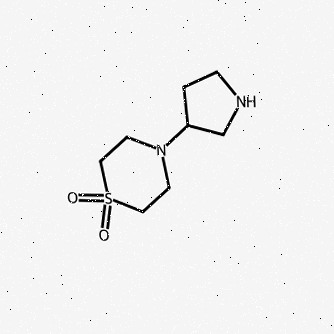 O=S1(=O)CCN(C2CCNC2)CC1